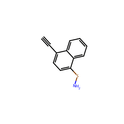 C#Cc1ccc(SN)c2ccccc12